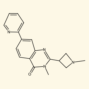 CN1CC(c2nc3cc(-c4ccccn4)ccc3c(=O)n2C)C1